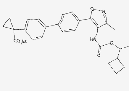 CCOC(=O)C1(c2ccc(-c3ccc(-c4onc(C)c4NC(=O)OC(C)C4CCC4)cc3)cc2)CC1